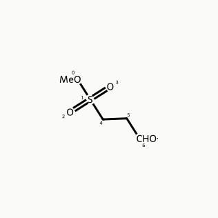 COS(=O)(=O)CC[C]=O